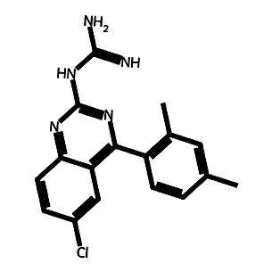 Cc1ccc(-c2nc(NC(=N)N)nc3ccc(Cl)cc23)c(C)c1